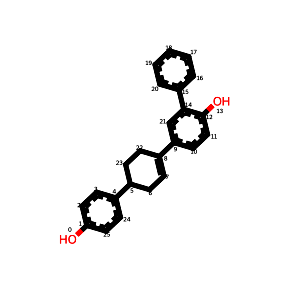 Oc1ccc(C2CC=C(c3ccc(O)c(-c4ccccc4)c3)CC2)cc1